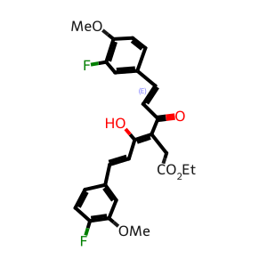 CCOC(=O)CC(C(=O)/C=C/c1ccc(OC)c(F)c1)=C(O)C=Cc1ccc(F)c(OC)c1